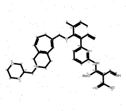 C=C/C(=C(OCC1=CC2=C(C=CC1)CN(CC1COCCO1)CC2)\C(C)=C/C)c1cccc(N/C(OC)=C(\C=N)C(=O)N=O)n1